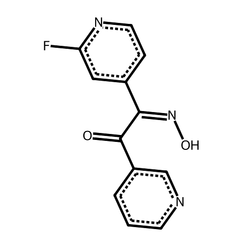 O=C(C(=NO)c1ccnc(F)c1)c1cccnc1